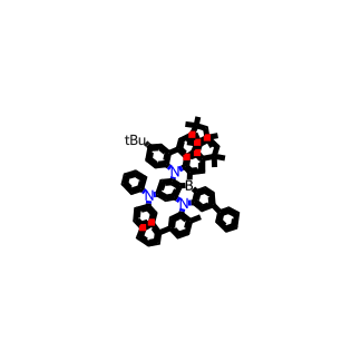 Cc1ccc(-c2ccccc2)cc1N1c2cc(-c3ccccc3)ccc2B2c3cc4c(cc3N(c3ccc(C(C)(C)C)cc3-c3ccc5c(c3)C(C)(C)CC5(C)C)c3cc(N(c5ccccc5)c5ccccc5)cc1c32)C(C)(C)CCC4(C)C